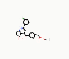 CCOC(=O)Cc1ccc(C(O)c2cc(-c3cccc(Cl)c3)nc3c2CCC3)cc1